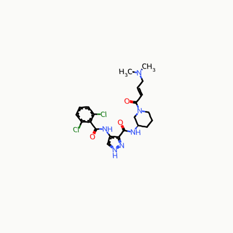 CN(C)C/C=C/C(=O)N1CCC[C@@H](NC(=O)c2n[nH]cc2NC(=O)c2c(Cl)cccc2Cl)C1